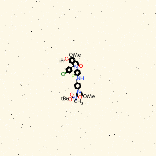 COC(=O)CN(CCN(C)C(=O)OC(C)(C)C)[C@H]1CC[C@H](CNc2ccc(N3C(=O)Cc4cc(OC)c(OC(C)C)cc4[C@@H]3c3ccc(Cl)cc3)cc2F)CC1